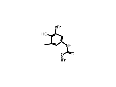 CCCc1cc(NC(=O)OC(C)C)cc(C)c1O